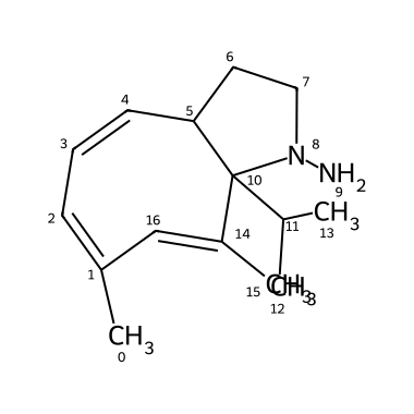 CC1=C/C=CC2CCN(N)C2(C(C)C)\C(C)=C\1